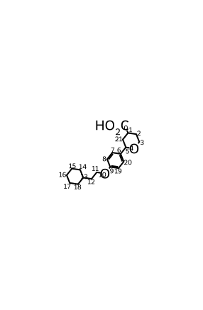 O=C(O)C1CCOC(c2ccc(OCCC3CCCCC3)cc2)C1